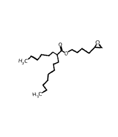 CCCCCCCCC(CCCCCC)C(=O)OCCCCC1CO1